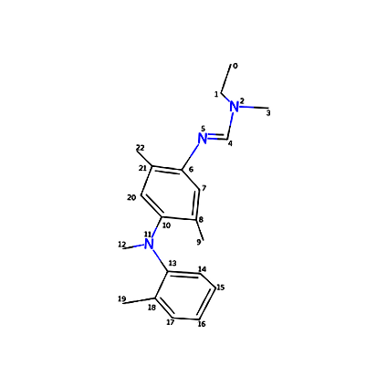 CCN(C)C=Nc1cc(C)c(N(C)c2ccccc2C)cc1C